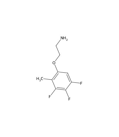 Cc1c(OCCN)cc(F)c(F)c1F